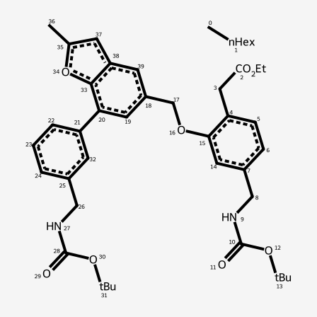 CCCCCCC.CCOC(=O)Cc1ccc(CNC(=O)OC(C)(C)C)cc1OCc1cc(-c2cccc(CNC(=O)OC(C)(C)C)c2)c2oc(C)cc2c1